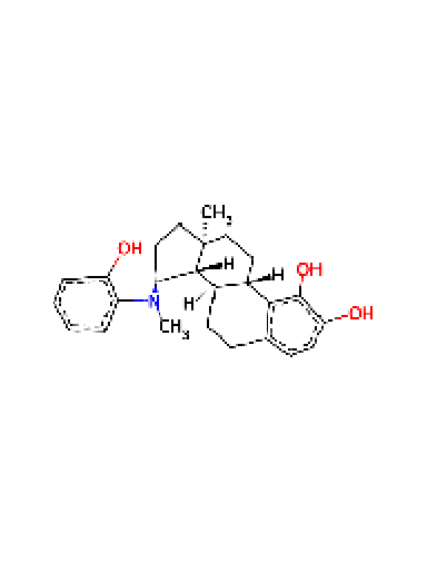 CN(c1ccccc1O)[C@H]1CC[C@@]2(C)CC[C@@H]3c4c(ccc(O)c4O)CC[C@H]3[C@H]12